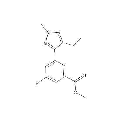 CCc1cn(C)nc1-c1cc(F)cc(C(=O)OC)c1